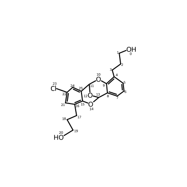 OCCCc1cccc2c1OC1OC2Oc2c(CCCO)cc(Cl)cc21